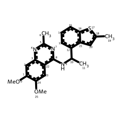 COc1cc2nc(C)nc(NC(C)c3cccc4sc(C)cc34)c2cc1OC